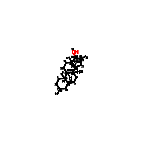 C[C@H]1CC[C@@]2(C)C(=CC[C@H]3[C@@H]4C[C@H](C)[C@H](O)[C@@]4(C)CC[C@@H]32)C1